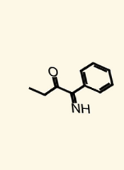 CCC(=O)C(=N)c1ccccc1